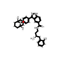 C[C@@H](CCNC(=O)c1ccc2[nH]nc(-c3ccc(N4[C@@H]5CCC[C@H]4COC5)cc3)c2c1)Cc1ccccc1Cl